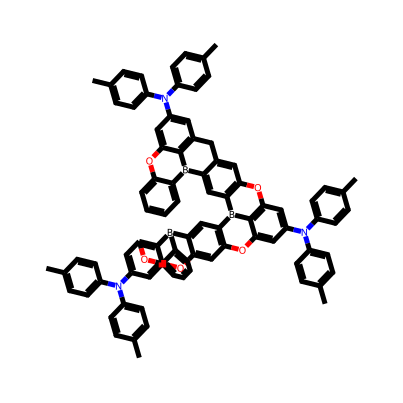 Cc1ccc(N(c2ccc(C)cc2)c2cc3c4c(c2)Oc2ccccc2B4c2cc4c(cc2C3)Oc2cc(N(c3ccc(C)cc3)c3ccc(C)cc3)cc3c2B4c2cc4c(cc2O3)Oc2cc(N(c3ccc(C)cc3)c3ccc(C)cc3)cc3c2B4c2ccccc2O3)cc1